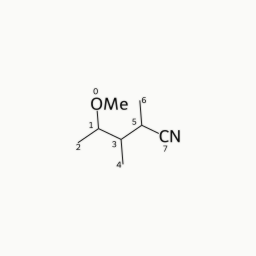 COC(C)C(C)C(C)C#N